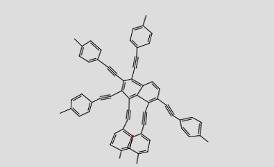 Cc1ccc(C#Cc2ccc3c(C#Cc4ccc(C)cc4)c(C#Cc4ccc(C)cc4)c(C#Cc4ccc(C)cc4)c(C#Cc4ccc(C)cc4)c3c2C#Cc2ccc(C)cc2)cc1